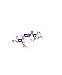 CCOC(=O)c1cc(OC)c(OC)cc1NC(=O)c1ccc(NC(=O)Nc2cc(OC)c(OC)c(OC)c2)cc1